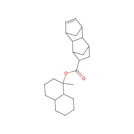 CC1(OC(=O)C2CC3CC2C2C4C=CC(C4)C32)CCCC2CCCCC21